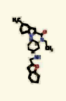 CCN(C(=O)c1cc2cc(C)ccc2[nH]1)[C@H]1CCC[C@@H](NCc2cc3ccccc3o2)C1